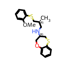 COc1ccccc1SC[C@H](C)CN[C@@H]1COc2ccccc2SC1